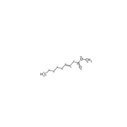 CCCCC/C=C/CC(=O)OC